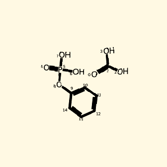 O=C(O)O.O=P(O)(O)Oc1ccccc1